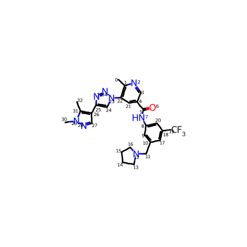 Cc1ncc(C(=O)Nc2cc(CN3CCCC3)cc(C(F)(F)F)c2)cc1-n1cc(-c2cnn(C)c2C)nn1